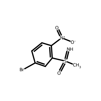 CS(=N)(=O)c1cc(Br)ccc1[N+](=O)[O-]